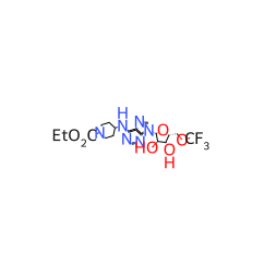 CCOC(=O)N1CCC(Nc2ncnc3c2ncn3[C@@H]2O[C@H](COC(F)(F)F)[C@@H](O)[C@H]2O)CC1